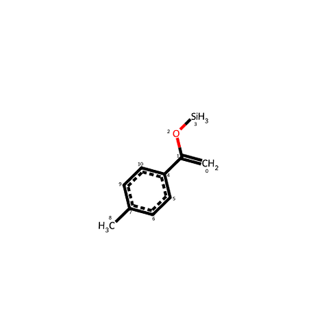 C=C(O[SiH3])c1ccc(C)cc1